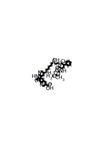 CC1C(c2ccccc2)CC(NC(=O)OC(C)(C)C)C(=O)N1CCN(C)CCCC/C=C/c1cnc2c(c1)[C@@]1(Cc3cc(C(=O)O)cnc3C1)C(=O)N2